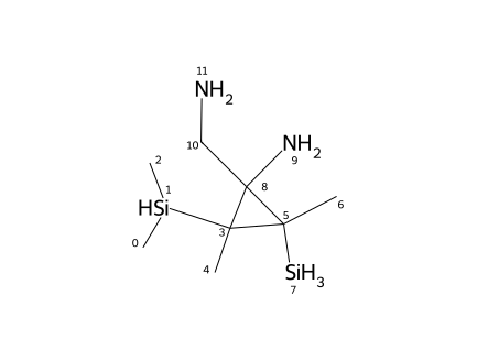 C[SiH](C)C1(C)C(C)([SiH3])C1(N)CN